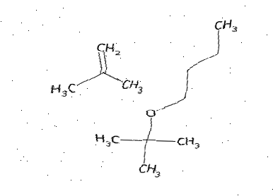 C=C(C)C.CCCCOC(C)(C)C